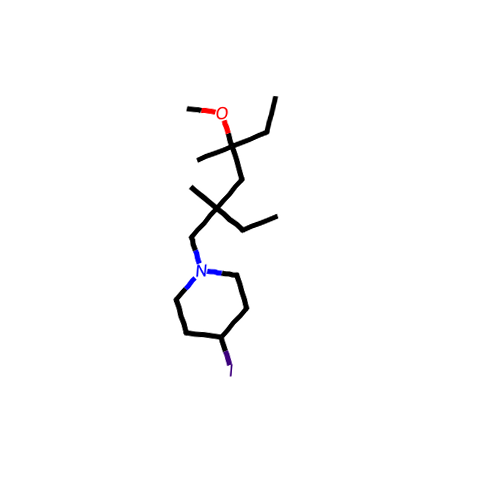 CCC(C)(CN1CCC(I)CC1)CC(C)(CC)OC